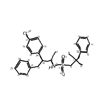 CC(NS(=O)(=O)CC(C)(C)c1ccccc1)C(Cc1ccccc1)c1ccc(Cl)cc1